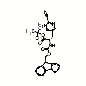 CC(C)(C)OC(=O)[C@H](Cc1cnc(C#N)nc1)NC(=O)OCC1c2ccccc2-c2ccccc21